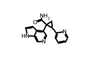 NC(=O)C1(c2cncc3[nH]ccc23)CC1c1ccccn1